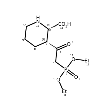 CCOP(=O)(CC(=O)[C@@H]1CCCN[C@@H]1C(=O)O)OCC